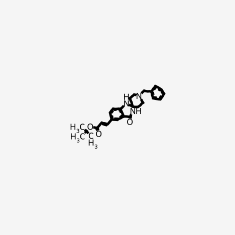 CC(C)(C)OC(=O)C=Cc1ccc2c(c1)C(=O)NC1(CCN(Cc3ccccc3)CC1)N2